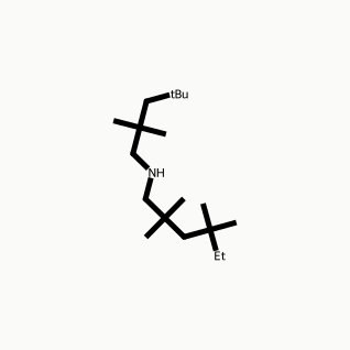 CCC(C)(C)CC(C)(C)CNCC(C)(C)CC(C)(C)C